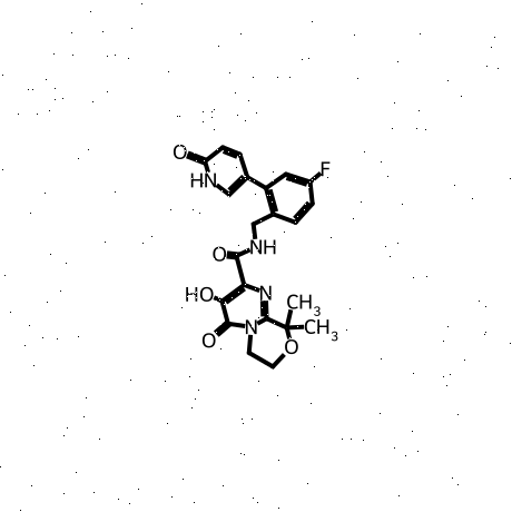 CC1(C)OCCn2c1nc(C(=O)NCc1ccc(F)cc1-c1ccc(=O)[nH]c1)c(O)c2=O